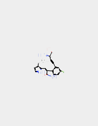 COc1cc[nH]c1/C=C1\C(=O)Nc2cc(F)cc(C#CC(N)CO)c21